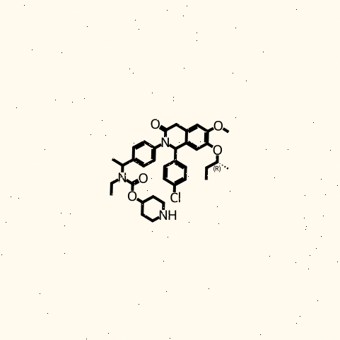 CC[C@@H](C)Oc1cc2c(cc1OC)CC(=O)N(c1ccc(C(C)N(CC)C(=O)OC3CCNCC3)cc1)C2c1ccc(Cl)cc1